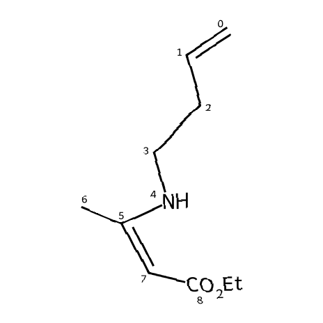 C=CCCNC(C)=CC(=O)OCC